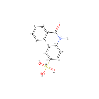 CN(C(=O)c1cc[c]cc1)c1ccc(S(=O)(=O)O)cc1